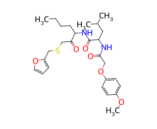 CCCCC(NC(=O)C(CC(C)C)NC(=O)COc1ccc(OC)cc1)C(=O)CSCc1ccco1